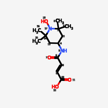 CC1(C)CC(NC(=O)C=CC(=O)O)CC(C)(C)N1O